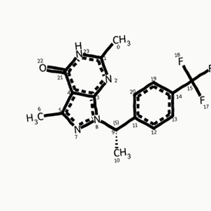 Cc1nc2c(c(C)nn2[C@@H](C)c2ccc(C(F)(F)F)cc2)c(=O)[nH]1